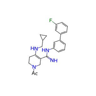 CC(=O)N1CCC(NCC2CC2)=C(C(=N)Nc2cccc(-c3cccc(F)c3)c2)C1